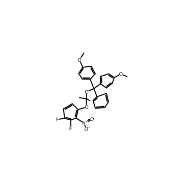 COc1ccc(C(OC(C)(C)Oc2ccc(F)c(F)c2[N+](=O)[O-])(c2ccccc2)c2ccc(OC)cc2)cc1